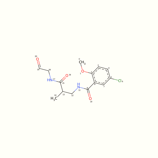 COc1ccc(Cl)cc1C(=O)NCC(C)C(=O)NCC=O